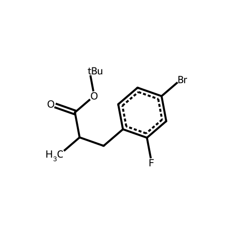 CC(Cc1ccc(Br)cc1F)C(=O)OC(C)(C)C